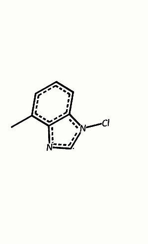 Cc1cccc2c1n[c]n2Cl